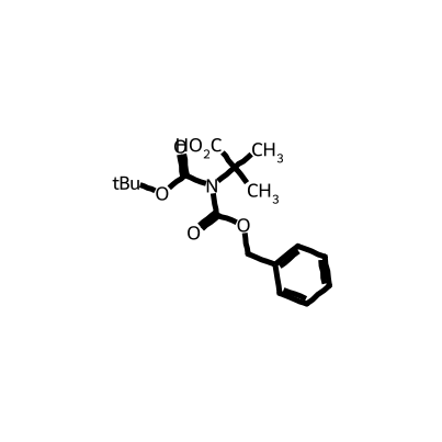 CC(C)(C)OC(=O)N(C(=O)OCc1ccccc1)C(C)(C)C(=O)O